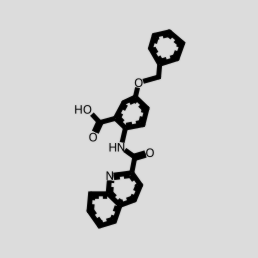 O=C(Nc1ccc(OCc2ccccc2)cc1C(=O)O)c1ccc2ccccc2n1